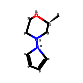 C[C@@H]1CN(n2cccc2)CCO1